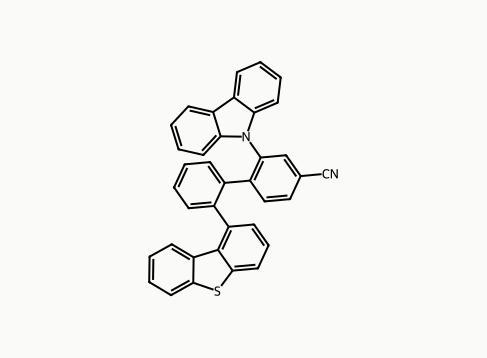 N#Cc1ccc(-c2ccccc2-c2cccc3sc4ccccc4c23)c(-n2c3ccccc3c3ccccc32)c1